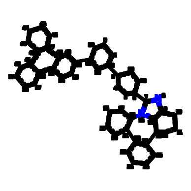 c1cc(-c2ccc(-c3nc4cccc5c4n3-c3ccccc3-c3ccccc3-5)cc2)cc(-c2ccc3c4ccccc4c4ccccc4c3c2)c1